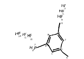 Cc1cc(C)cc(P)c1.F.F.F.F.F.F